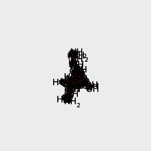 Nc1nc(N)c2nc(CNc3ccc(C(=O)N[C@@H](CCCCNC(=O)OCCSSCCNC(=O)[C@H](CCC(=O)NC[C@H](O)[C@@H](O)C[C@H](O)CO)NC(=O)[C@H](CCC(=O)O)NC(=O)[C@H](CCC(=O)NC[C@H](O)[C@@H](O)C[C@H](O)CO)NC(=O)[C@H](CCC(=O)O)NC(=O)[C@H](CCC(=O)NC[C@H](O)[C@@H](O)C[C@H](O)CO)NC(=O)CCCNC(=O)c4ccc(NCc5cnc6nc(N)[nH]c(=O)c6n5)cc4)C(=O)O)cc3)cnc2n1